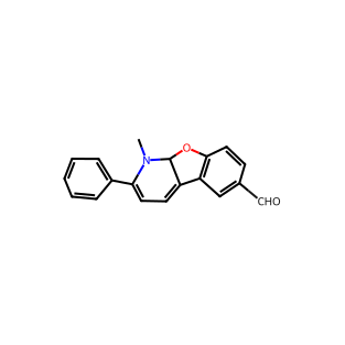 CN1C(c2ccccc2)=CC=C2c3cc(C=O)ccc3OC21